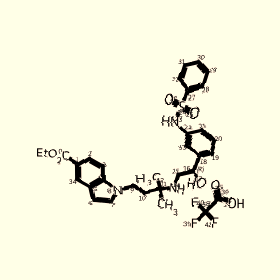 CCOC(=O)c1ccc2c(ccn2CCC(C)(C)NC[C@H](O)c2cccc(NS(=O)(=O)c3ccccc3)c2)c1.O=C(O)C(F)(F)F